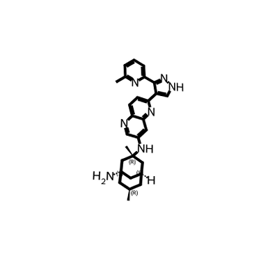 Cc1cccc(-c2n[nH]cc2-c2ccc3ncc(N[C@]4(C)C[C@H]5C[C@@H](C)C[C@](N)(C5)C4)cc3n2)n1